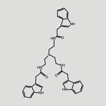 O=C(Cc1c[nH]c2ccccc12)NCCN(CCNC(=O)Cc1c[nH]c2ccccc12)CCNC(=O)Cc1c[nH]c2ccccc12